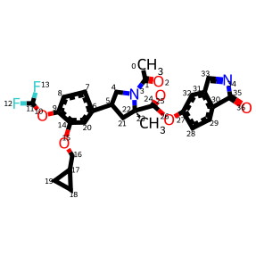 CC(=O)N1CC(c2ccc(OC(F)F)c(OCC3CC3)c2)C[C@]1(C)C(=O)Oc1ccc2c(c1)C=NC2=O